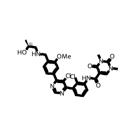 COc1cc(-c2ncnc(-c3cccc(NC(=O)c4cn(C)c(=O)n(C)c4=O)c3Cl)c2Cl)ccc1CNC[C@H](C)O